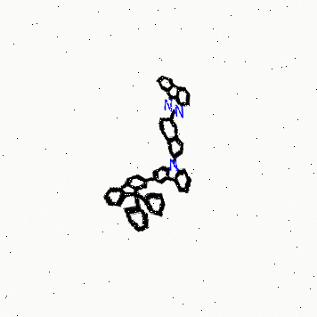 c1ccc(C2(c3ccccc3)c3ccccc3-c3ccc(-c4ccc5c(c4)c4ccccc4n5-c4ccc5cc(-c6nc7c8c(cccc8n6)-c6ccccc6-7)ccc5c4)cc32)cc1